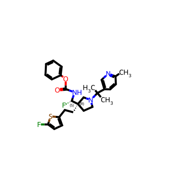 Cc1ccc(C(C)(C)N2CC[C@@](CCc3ccc(F)s3)([C@H](F)NC(=O)Oc3ccccc3)C2)cn1